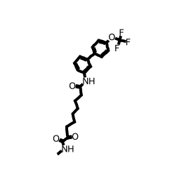 CNC(=O)C(=O)CCCCCCC(=O)Nc1cccc(-c2ccc(OC(F)(F)F)cc2)c1